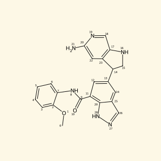 COc1ccccc1NC(=O)c1cc(C2CNc3cnc(N)cc32)cc2cn[nH]c12